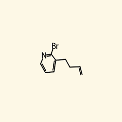 C=CCCc1cccnc1Br